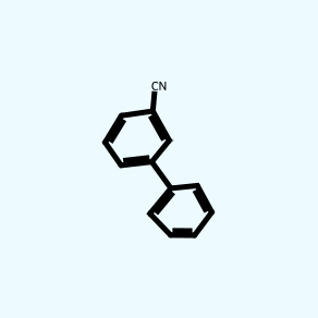 N#Cc1[c]c(-c2ccccc2)ccc1